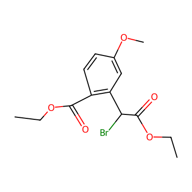 CCOC(=O)c1ccc(OC)cc1C(Br)C(=O)OCC